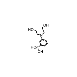 OCCN(CCO)c1cccc(B(O)O)c1